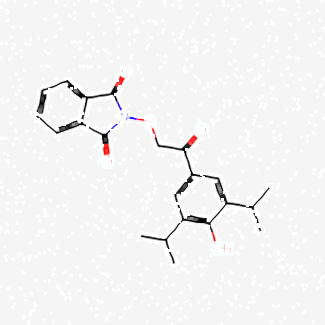 CC(C)c1cc(C(=O)CON2C(=O)c3ccccc3C2=O)cc(C(C)C)c1O